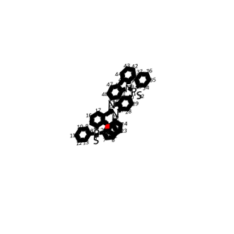 S=P(c1ccccc1)(c1ccccc1)c1cccc2c1c1ccccc1n1c3ccc(P(=S)(c4ccccc4)n4c5ccccc5c5ccccc54)cc3nc21